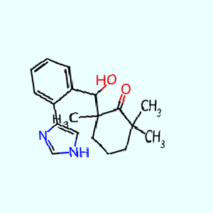 CC1(C)CCCC(C)(C(O)c2ccccc2-c2c[nH]cn2)C1=O